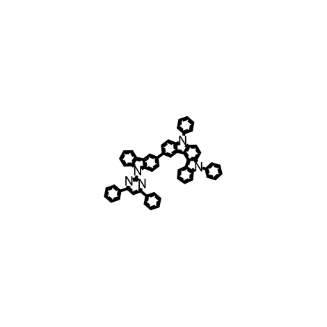 c1ccc(-c2cc(-c3ccccc3)nc(-n3c4ccccc4c4cc(-c5ccc6c(c5)c5c7c8ccccc8n(-c8ccccc8)c7ccc5n6-c5ccccc5)ccc43)n2)cc1